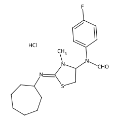 CN1C(=NC2CCCCCC2)SCC1N(C=O)c1ccc(F)cc1.Cl